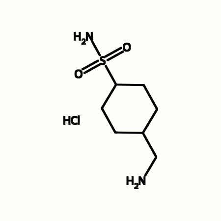 Cl.NCC1CCC(S(N)(=O)=O)CC1